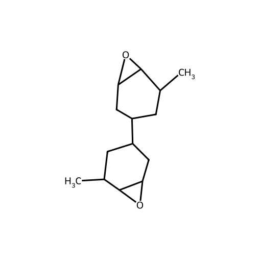 CC1CC(C2CC(C)C3OC3C2)CC2OC12